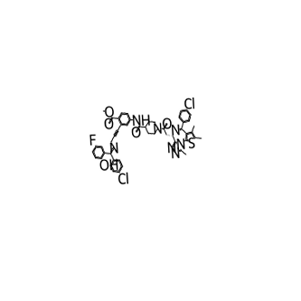 COC(=O)c1ccc(NC(=O)C2CCN(C(=O)C[C@@H]3N=C(c4ccc(Cl)cc4)c4c(sc(C)c4C)-n4c(C)nnc43)CC2)cc1C#CCN=C(c1ccc(Cl)cc1)c1cc(F)ccc1O